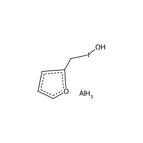 O[I]Cc1ccco1.[AlH3]